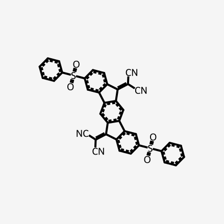 N#CC(C#N)=C1c2ccc(S(=O)(=O)c3ccccc3)cc2-c2cc3c(cc21)-c1cc(S(=O)(=O)c2ccccc2)ccc1C3=C(C#N)C#N